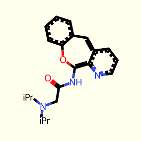 CC(C)N(CC(=O)NC1=c2ncccc2=Cc2ccccc2O1)C(C)C